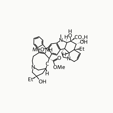 CC[C@]1(O)C[C@@H]2CN(CCc3c([nH]c4ccccc34)[C@@](C(=O)OC)(c3cc4c(cc3OC)N(C)[C@H]3[C@@](O)(C(=O)O)[C@H](O)[C@]5(CC)C=CCN6CC[C@]43[C@@H]65)C2)C1